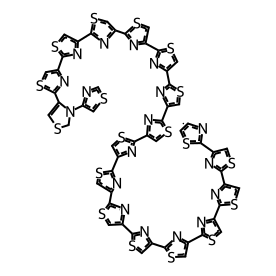 [c]1csc(-c2csc(-c3csc(-c4csc(-c5csc(-c6csc(-c7csc(-c8csc(-c9csc(-c%10csc(-c%11csc(-c%12csc(-c%13csc(-c%14csc(-c%15csc(-c%16csc(C%17=CSCN%17c%17cscn%17)n%16)n%15)n%14)n%13)n%12)n%11)n%10)n9)n8)n7)n6)n5)n4)n3)n2)n1